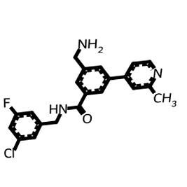 Cc1cc(-c2cc(CN)cc(C(=O)NCc3cc(F)cc(Cl)c3)c2)ccn1